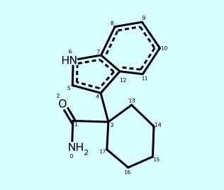 NC(=O)C1(c2c[nH]c3ccccc23)CCCCC1